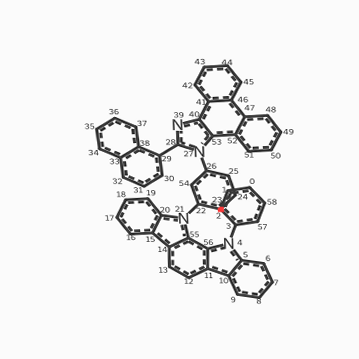 c1ccc(-n2c3ccccc3c3ccc4c5ccccc5n(-c5cccc(-n6c(-c7cccc8ccccc78)nc7c8ccccc8c8ccccc8c76)c5)c4c32)cc1